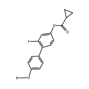 CC(C)Oc1ccc(-c2ccc(OC(=O)C3CC3)cc2F)cc1